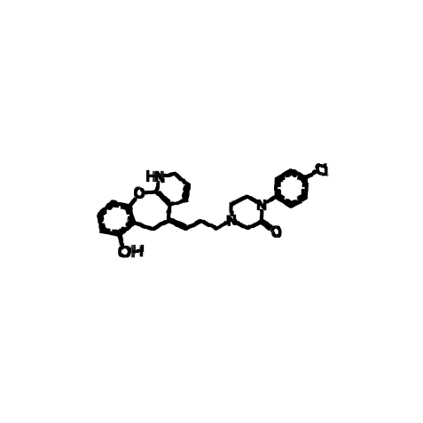 O=C1CN(CC/C=C2/Cc3c(O)cccc3OC3=C2C=CCN3)CCN1c1ccc(Cl)cc1